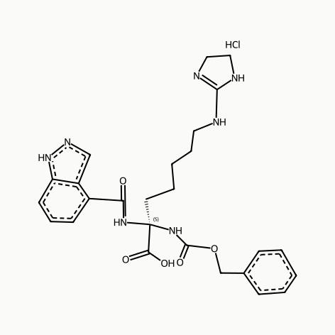 Cl.O=C(N[C@](CCCCCNC1=NCCN1)(NC(=O)c1cccc2[nH]ncc12)C(=O)O)OCc1ccccc1